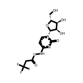 O=C(CC(F)(F)F)ONc1ccn([C@@H]2O[C@H](CO)[C@@H](O)[C@H]2O)c(=O)n1